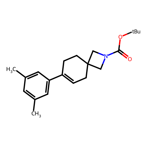 Cc1cc(C)cc(C2=CCC3(CC2)CN(C(=O)OC(C)(C)C)C3)c1